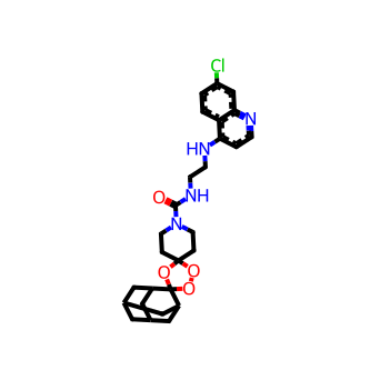 O=C(NCCNc1ccnc2cc(Cl)ccc12)N1CCC2(CC1)OOC1(O2)C2CC3CC(C2)CC1C3